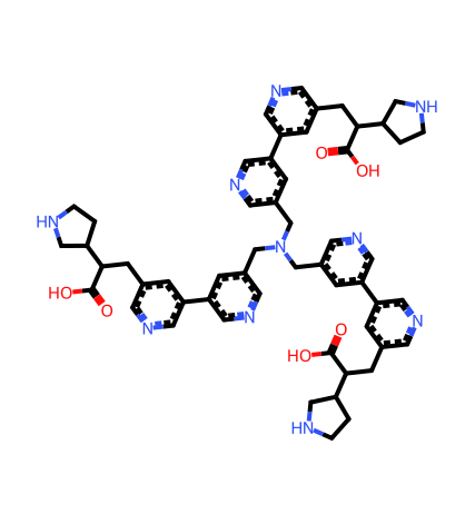 O=C(O)C(Cc1cncc(-c2cncc(CN(Cc3cncc(-c4cncc(CC(C(=O)O)C5CCNC5)c4)c3)Cc3cncc(-c4cncc(CC(C(=O)O)C5CCNC5)c4)c3)c2)c1)C1CCNC1